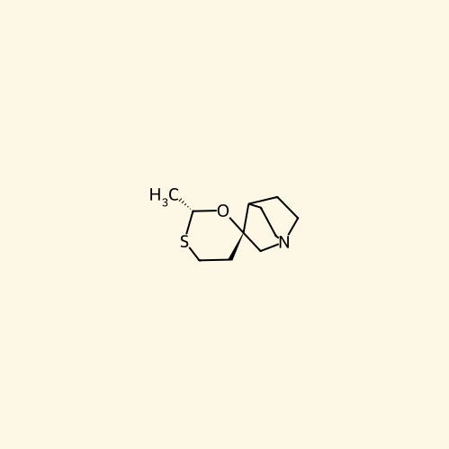 C[C@@H]1O[C@@]2(CCS1)CN1CCC2CC1